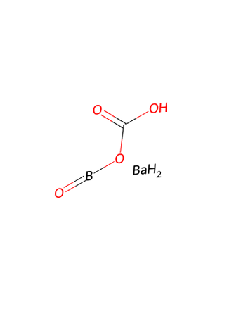 O=BOC(=O)O.[BaH2]